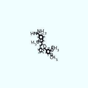 COc1ccc(C(=O)N2CCC[C@H]2CCc2cc3ccc(C(=N)N)cc3n2C)cc1OC